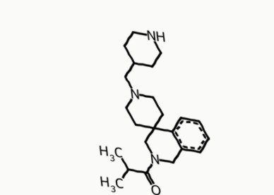 CC(C)C(=O)N1Cc2ccccc2C2(CCN(CC3CCNCC3)CC2)C1